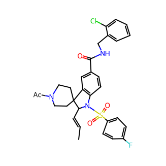 C/C=C/C1N(S(=O)(=O)c2ccc(F)cc2)c2ccc(C(=O)NCc3ccccc3Cl)cc2C12CCN(C(C)=O)CC2